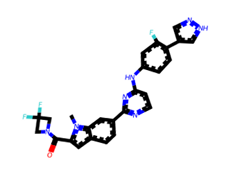 Cn1c(C(=O)N2CC(F)(F)C2)cc2ccc(-c3nccc(Nc4ccc(-c5cn[nH]c5)c(F)c4)n3)cc21